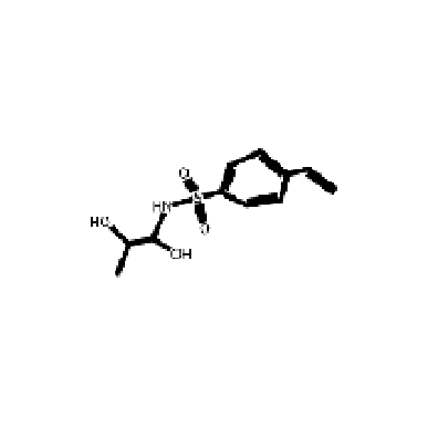 C=Cc1ccc(S(=O)(=O)NC(O)C(C)O)cc1